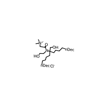 CCCCCCCCCCCCCCC(CO)(CCCCCCCCCCCCCC)N(CCO)C(=O)C[N+](C)(C)C.[Cl-]